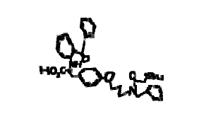 CC(C)(C)CC(=O)N(CCCOc1ccc(C[C@H](Nc2ccccc2C(=O)c2ccccc2)C(=O)O)cc1)Cc1ccccc1